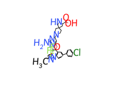 Cc1ccn(-c2ccc(-c3ccc(Cl)cc3)cc2C(Oc2cc(N3CCC4(CC3)CNC(C(=O)O)C4)nc(N)n2)C(F)(F)F)n1